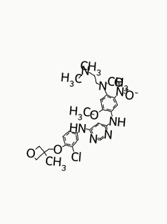 COc1cc(N(C)CCN(C)C)c([N+](=O)[O-])cc1Nc1cc(Nc2ccc(OCC3(C)COC3)c(Cl)c2)ncn1